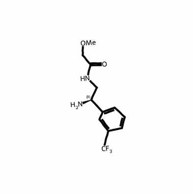 COCC(=O)NC[C@H](N)c1cccc(C(F)(F)F)c1